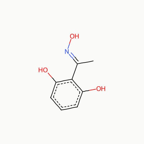 CC(=NO)c1c(O)cccc1O